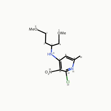 COCCC(COC)Nc1cc(C)nc(Cl)c1[N+](=O)[O-]